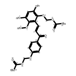 CCCOc1c(CCC)cc(CCC)c(OCOC(=O)C(C)(C)C)c1/C=C/C(=O)c1ccc(OCOC(=O)C(C)(C)C)cc1